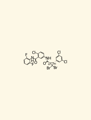 O=C(Nc1c(F)cccc1F)c1cc(NC(=O)[C@H]2[C@H](c3cc(Cl)cc(Cl)c3)C2(Br)Br)ccc1Cl